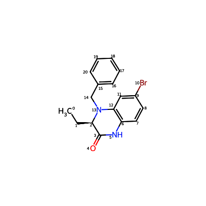 CC[C@@H]1C(=O)Nc2ccc(Br)cc2N1Cc1ccccc1